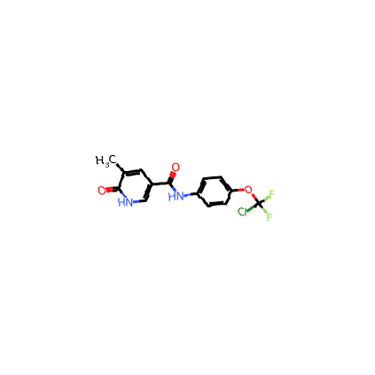 Cc1cc(C(=O)Nc2ccc(OC(F)(F)Cl)cc2)c[nH]c1=O